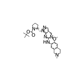 COc1cc2c(cc1Nc1ncc3cnn(C[C@H]4CCCN4C(=O)OC(C)(C)C)c3n1)CN(C)CC2